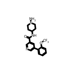 NN1CCC(NC(=O)c2cncc(-c3ccccc3OC(F)(F)F)c2)CC1